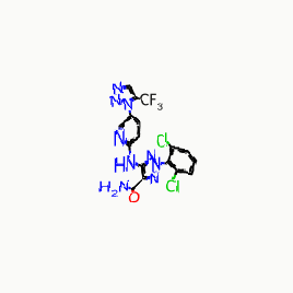 NC(=O)c1nn(-c2c(Cl)cccc2Cl)nc1Nc1ccc(-n2nncc2C(F)(F)F)cn1